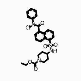 CCOC(=O)N1CCC(NS(=O)(=O)c2cccc3c(C(=O)N(Cl)c4ccccc4)cccc23)CC1